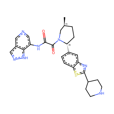 C[C@H]1CC[C@H](c2ccc3sc(C4CCNCC4)nc3c2)N(C(=O)C(=O)Nc2cncc3cn[nH]c23)C1